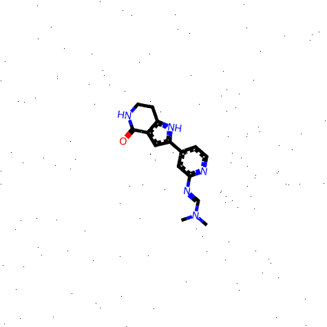 CN(C)/C=N/c1cc(-c2cc3c([nH]2)CCNC3=O)ccn1